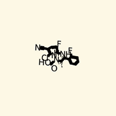 C[C@H](NC(=O)O)[C@H](Nc1nc(Cl)c(C#N)cc1F)c1ccccc1F